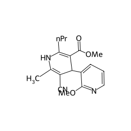 CCCC1=C(C(=O)OC)C(c2cccnc2OC)C(C#N)=C(C)N1